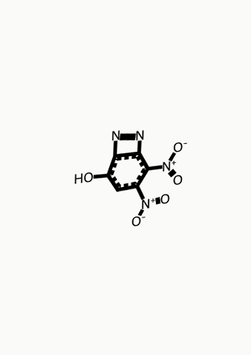 O=[N+]([O-])c1cc(O)c2c(c1[N+](=O)[O-])N=N2